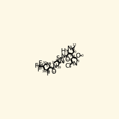 COc1cnc(Cl)cc1-c1cc(C)ncc1C(=O)Nc1nc2c(s1)CN(C(=O)c1ncc(C(F)(F)F)cc1F)C2